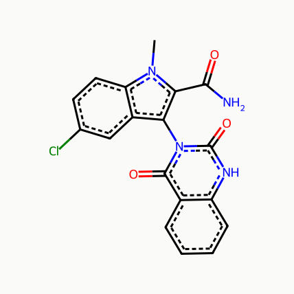 Cn1c(C(N)=O)c(-n2c(=O)[nH]c3ccccc3c2=O)c2cc(Cl)ccc21